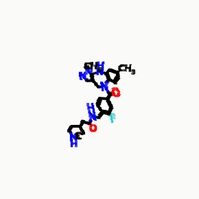 Cc1ccc2c(c1)Nc1c(cnn1C)CN2C(=O)c1ccc(CNC(=O)CC2CCNCC2)c(F)c1